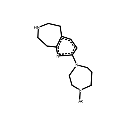 CC(=O)N1CCCN(c2ccc3c(n2)CCNCC3)CC1